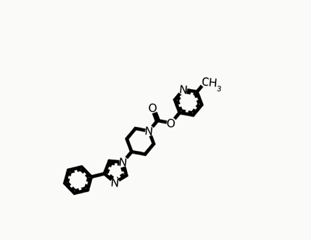 Cc1ccc(OC(=O)N2CCC(n3cnc(-c4ccccc4)c3)CC2)cn1